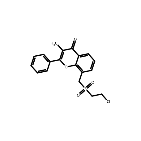 Cc1c(-c2ccccc2)oc2c(CS(=O)(=O)CCCl)cccc2c1=O